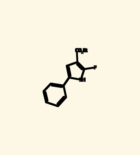 CCOC(=O)c1cc(-c2ccccc2)[nH]c1F